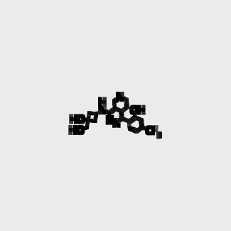 OC[C@]1(O)C[C@H](Nc2nnc(-c3ccc(C(F)(F)F)cc3O)c3ccncc23)C1